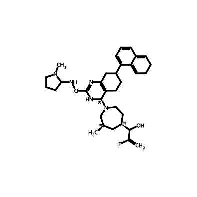 C=C(F)C(O)[C@@H]1CCN([C@H]2NC(ONC3CCCN3C)=NC3=C2CCC(c2cccc4c2=CCCC=4)C3)C[C@H](C)C1